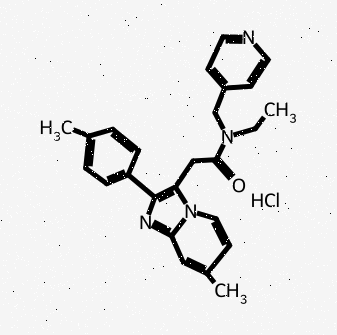 CCN(Cc1ccncc1)C(=O)Cc1c(-c2ccc(C)cc2)nc2cc(C)ccn12.Cl